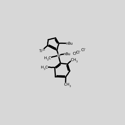 CCCCC1=CC[C]([Ti+3])=C1[Si](C)(CCCC)c1c(C)cc(C)cc1C.[Cl-].[Cl-].[Cl-]